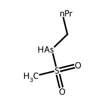 [CH2]CCC[AsH]S(C)(=O)=O